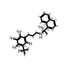 [2H]c1c([2H])c(CCCN[C@]([2H])(C)c2cccc3ccccc23)c([2H])c(C(F)(F)F)c1[2H]